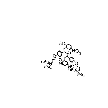 CCCCN(CCCC)CCCOc1ccc(C(Cc2cc([N+](=O)[O-])ccc2O)C(=O)C(Cc2cc([N+](=O)[O-])ccc2O)c2ccc(OCCCN(CCCC)CCCC)cc2)cc1